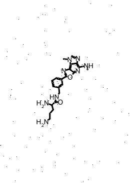 CNc1nc2oc(-c3cccc(CNC(=O)C(N)CCCN)c3)nc2c2c1ncn2C